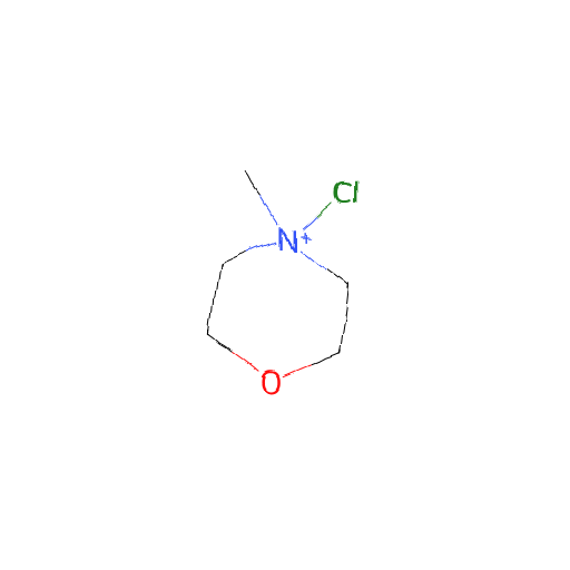 C[N+]1(Cl)CCOCC1